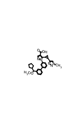 COC(c1cccc(-c2cccc(-n3ncc(C(=O)O)c3C3CC3c3cn(C)nn3)c2)c1)C1CCCC1